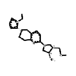 CCn1cccc1[C@H]1CCc2nc(N3C[C@@H](COC)[C@@H](N)C3)ccc2C1